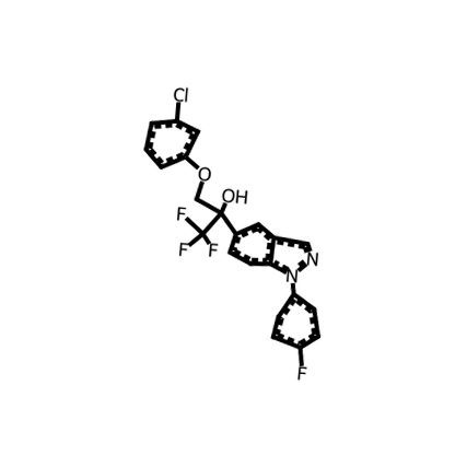 OC(COc1cccc(Cl)c1)(c1ccc2c(cnn2-c2ccc(F)cc2)c1)C(F)(F)F